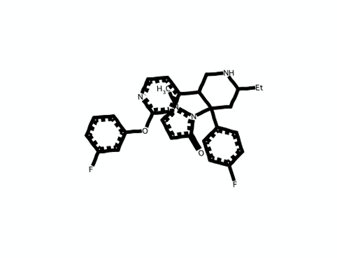 CCC1CC(c2ccc(F)cc2)(n2c(=O)ccn2C)C(c2ccnc(Oc3cccc(F)c3)n2)CN1